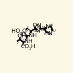 CC(O)C(NC(=O)N[C@@H](CC(=O)O)c1nc(-c2cnccn2)no1)C(=O)O